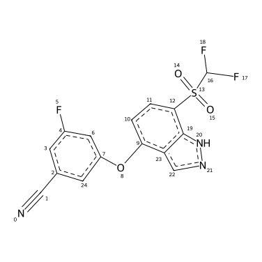 N#Cc1cc(F)cc(Oc2ccc(S(=O)(=O)C(F)F)c3[nH]ncc23)c1